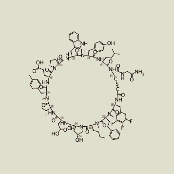 CCCC[C@H]1C(=O)N2C[C@@H](O)C[C@@H]2C(=O)N[C@@H](CC(=O)O)C(=O)N[C@@H](C(C)C)C(=O)N(C)[C@@H](Cc2ccc(C)cc2)C(=O)N[C@@H](CCC(=O)O)C(=O)N2CCC[C@@H]2C(=O)N[C@@H](Cc2c[nH]c3ccccc23)C(=O)N[C@@H](Cc2ccc(O)cc2)C(=O)N[C@@H](CCC(C)C)C(=O)N[C@H](C(=O)NCC(N)=O)CSCC(=O)N[C@@H](Cc2cc(F)c(F)c(F)c2)C(=O)N(C)[C@@H](CCc2ccccc2)C(=O)N1C